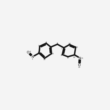 O=Nc1ccc(CC2=CCC(N=O)C=C2)cc1